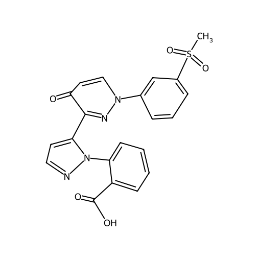 CS(=O)(=O)c1cccc(-n2ccc(=O)c(-c3ccnn3-c3ccccc3C(=O)O)n2)c1